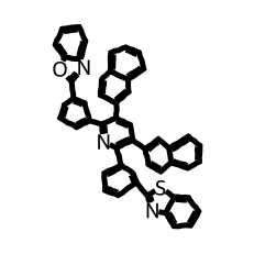 c1cc(-c2nc3ccccc3o2)cc(-c2nc(-c3cccc(-c4nc5ccccc5s4)c3)c(-c3ccc4ccccc4c3)cc2-c2ccc3ccccc3c2)c1